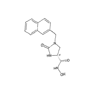 O=C(NO)[C@H]1CN(Cc2ccc3ccccc3c2)C(=O)N1